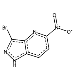 O=[N+]([O-])c1ccc2[nH]nc(Br)c2n1